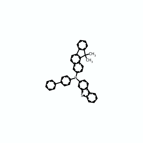 CC1(C)c2ccccc2-c2ccc3cc(N(c4ccc(-c5ccccc5)cc4)c4ccc5c(c4)sc4ccccc45)ccc3c21